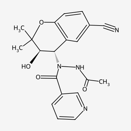 CC(=O)NN(C(=O)c1cccnc1)[C@H]1c2cc(C#N)ccc2OC(C)(C)[C@@H]1O